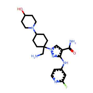 NCC1(n2cc(C(N)=O)c(Nc3ccnc(F)c3)n2)CCC(N2CCC(O)CC2)CC1